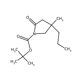 CCCC1(C)CC(=O)N(C(=O)OC(C)(C)C)C1